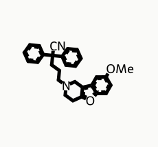 COc1ccc2oc3c(c2c1)CN(CCCC(C#N)(c1ccccc1)c1ccccc1)CC3